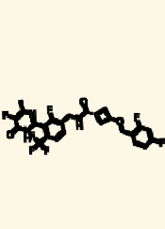 Cc1nc(-c2c(C(F)(F)F)ccc(CNC(=O)[C@H]3C[C@H](OCc4ccc(F)cc4F)C3)c2F)[nH]c(=O)c1F